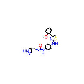 COc1ccccc1-c1csc(Nc2ccc(NC(=O)NCc3cn[nH]c3)cc2)n1